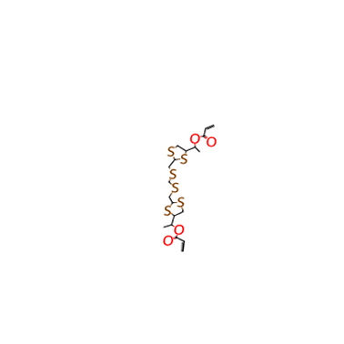 C=CC(=O)OC(C)C1CSC(CSCSCC2SCC(C(C)OC(=O)C=C)S2)S1